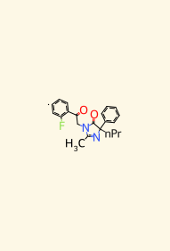 CCCC1(c2ccccc2)N=C(C)N(CC(=O)c2cc[c]cc2F)C1=O